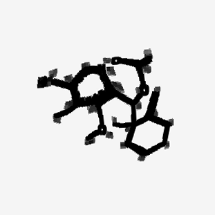 C=C1CCCCC1(C)C(OC(C)=O)c1ncc(Br)c(C)c1OC